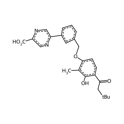 Cc1c(OCc2cccc(-c3cnc(C(=O)O)cn3)c2)ccc(C(=O)CC(C)(C)C)c1O